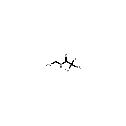 CC(C)(N)C(=O)NC[C]=O